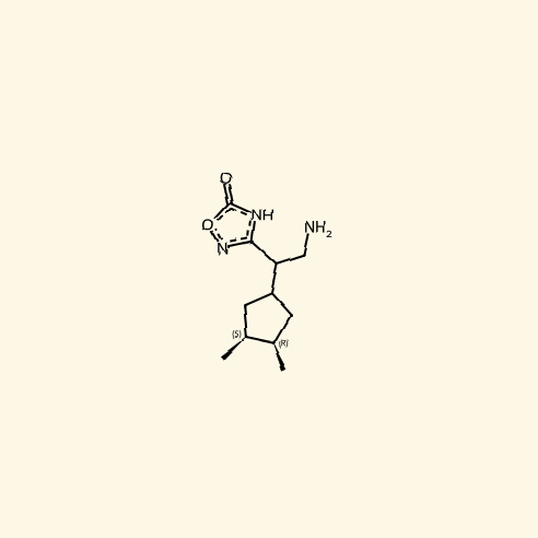 C[C@@H]1CC(C(CN)c2noc(=O)[nH]2)C[C@@H]1C